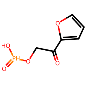 O=C(CO[PH](=O)O)c1ccco1